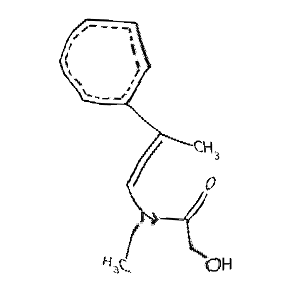 C/C(=C\N(C)C(=O)O)c1ccccc1